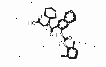 Cc1cccc(C)c1NC(=O)Nc1cc2ccccc2cc1C(=O)N(CC(=O)O)C1CCCCC1